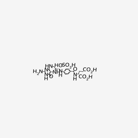 Nc1nc2c(c(=O)[nH]1)N[C@@H](CNc1ccc(C(=O)NC(CCC(=O)O)C(=O)O)cc1)CN2.O=S(=O)(O)O